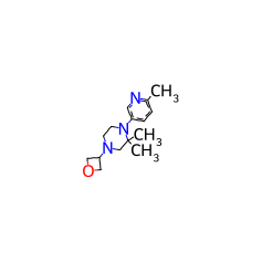 Cc1ccc(N2CCN(C3COC3)CC2(C)C)cn1